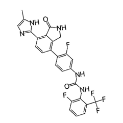 Cc1cnc(-c2ccc(-c3ccc(NC(=O)Nc4c(F)cccc4C(F)(F)F)cc3F)c3c2C(=O)NC3)[nH]1